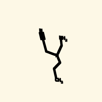 CCCN(CN)CC#N